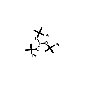 CC(C)C(C)(C)OP(OC(C)(C)C(C)C)OC(C)(C)C(C)C